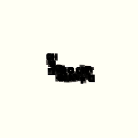 CC[C@@H](CCN1CCC(CO)CC1)Nc1ccc(S(=O)(=O)Nc2ccc(N3CCN(c4cc(F)cc(-c5c(C(=O)O)c(C)n(C(C)C)c5-c5ccc(Cl)cc5)c4)CC3)cc2)cc1S(C)(=O)=O